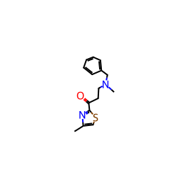 Cc1csc(C(=O)CCN(C)Cc2ccccc2)n1